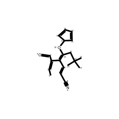 C/C=C(/C=O)C(/C=C/C#N)=C(CC(C)(C)C)OC1C=CC=C1